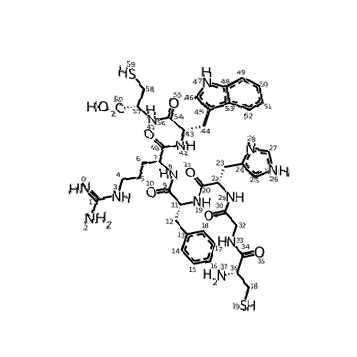 N=C(N)NCCC[C@H](NC(=O)[C@@H](Cc1ccccc1)NC(=O)[C@H](Cc1c[nH]cn1)NC(=O)CNC(=O)[C@@H](N)CS)C(=O)N[C@@H](Cc1c[nH]c2ccccc12)C(=O)N[C@@H](CS)C(=O)O